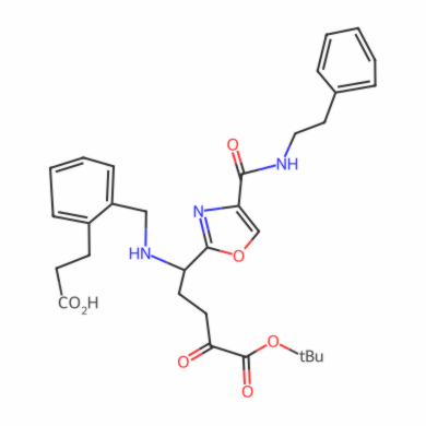 CC(C)(C)OC(=O)C(=O)CCC(NCc1ccccc1CCC(=O)O)c1nc(C(=O)NCCc2ccccc2)co1